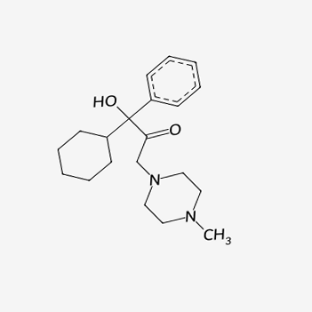 CN1CCN(CC(=O)C(O)(c2ccccc2)C2CCCCC2)CC1